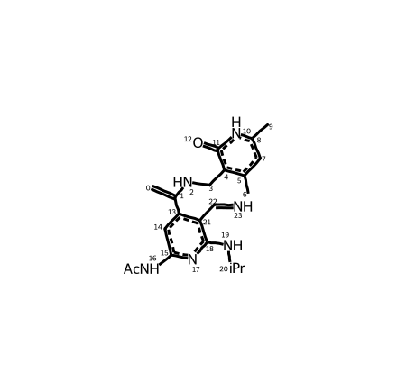 C=C(NCc1c(C)cc(C)[nH]c1=O)c1cc(NC(C)=O)nc(NC(C)C)c1C=N